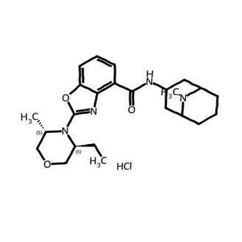 CC[C@H]1COC[C@H](C)N1c1nc2c(C(=O)NC3CC4CCCC(C3)N4C)cccc2o1.Cl